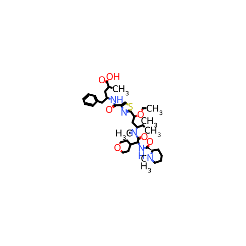 CCOC(CC(C(C)C)N(C)C(=O)C(NC(=O)[C@H]1CCCCN1C)C1CCOCC1)c1nc(C(=O)NC(Cc2ccccc2)CC(C)C(=O)O)cs1